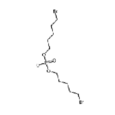 [O]P(=O)(OCCCCCBr)OCCCCCBr